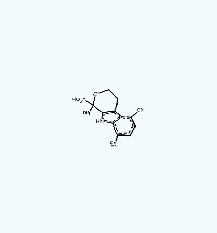 CCCC1(C(=O)O)OCCc2c1[nH]c1c(CC)ccc(C#N)c21